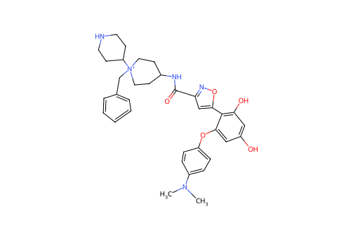 CN(C)c1ccc(Oc2cc(O)cc(O)c2-c2cc(C(=O)NC3CC[N+](Cc4ccccc4)(C4CCNCC4)CC3)no2)cc1